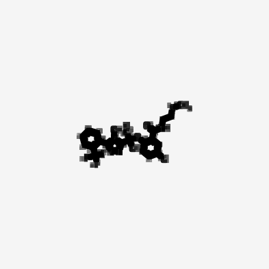 CSCCNC(=O)c1cc(Cl)ccc1OC(C)(C)c1nnc(-c2ccccc2C(F)(F)F)n1C